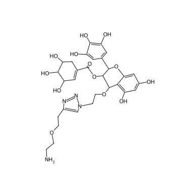 NCCOCCc1cn(CCOC2c3c(O)cc(O)cc3OC(c3cc(O)c(O)c(O)c3)C2OC(=O)C2=CC(O)C(O)C(O)C2)nn1